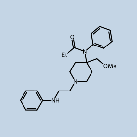 CCC(=O)N(c1ccccc1)C1(COC)CCN(CCNc2ccccc2)CC1